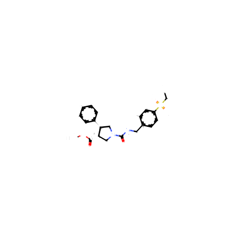 CCS(=O)(=O)c1ccc(CNC(=O)N2C[C@H](C(=O)OC)[C@@H](c3ccccc3)C2)cc1